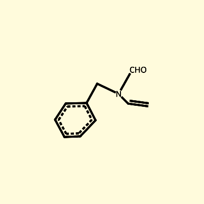 C=CN(C=O)Cc1ccccc1